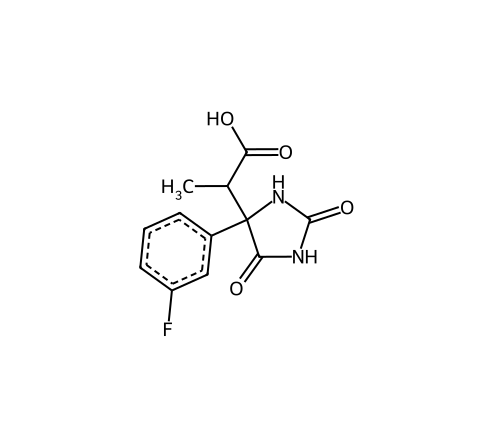 CC(C(=O)O)C1(c2cccc(F)c2)NC(=O)NC1=O